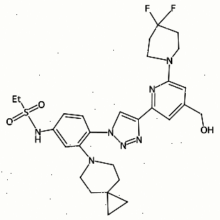 CCS(=O)(=O)Nc1ccc(-n2cc(-c3cc(CO)cc(N4CCC(F)(F)CC4)n3)nn2)c(N2CCC3(CC2)CC3)c1